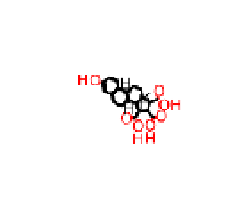 C[C@]12CC[C@@H]3c4ccc(O)cc4CC[C@H]3[C@@H]1C(C(=O)O)C(C(=O)O)C2C(=O)O